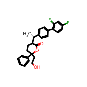 C[C@H](c1ccc(-c2ccc(F)cc2F)cc1)C1CCC(CCO)(c2ccccc2)OC1=O